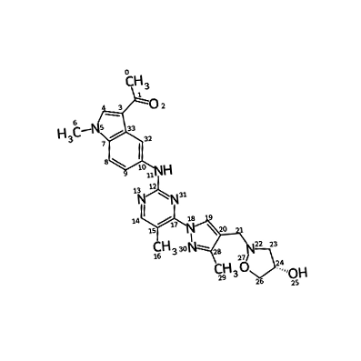 CC(=O)c1cn(C)c2ccc(Nc3ncc(C)c(-n4cc(CN5C[C@H](O)CO5)c(C)n4)n3)cc12